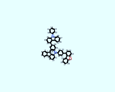 CC12c3ccccc3-c3cccc(c31)N(c1ccc(-c3cccc4oc5ccccc5c34)cc1)c1ccc(-c3cccc4c3c3ccccc3n4-c3ccccc3)cc12